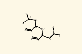 C=CC(CC(C)C)OC(C=C)CC(C)C